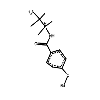 CCC(C)Oc1ccc(C(=O)N[PH](C)(C)C(C)(C)N)cc1